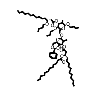 CCCCCCCCCCCC(=O)O[C@H](CCCCCCCCCCC)CC(=O)OC1C(C)[C@H](OCC2O[C@H](OCCCC)C(C)[C@@H](OC(=O)C[C@@H](CCCCCCCCCCC)OCCCC)[C@@H]2OCCCC)OC2COC(c3ccccc3)O[C@H]21